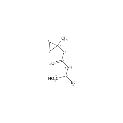 CCC(NC(=O)CC1(C(F)(F)F)CC1)C(=O)O